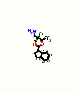 NCC(F)(F)C(OC(=O)C1CCc2ccccc21)C(F)(F)F